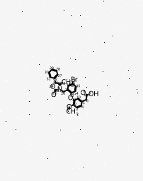 COc1ccc(CC(=O)O)cc1Oc1ccc(Br)cc1CN1C(=O)O[C@@H](c2ccccc2)[C@H]1C